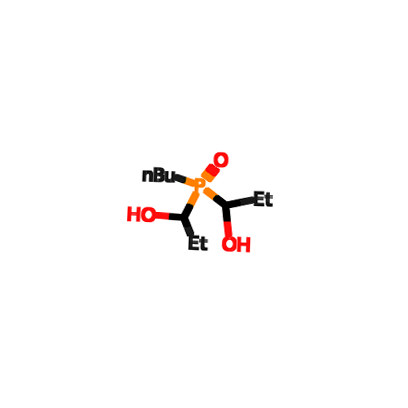 CCCCP(=O)(C(O)CC)C(O)CC